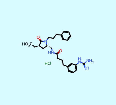 Cl.N=C(N)Nc1cccc(CCCC(=O)NC[C@@H]2C[C@@H](CC(=O)O)C(=O)N2CCCc2ccccc2)c1